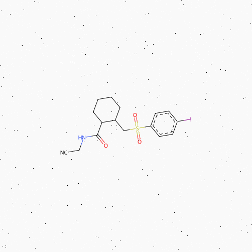 N#CCNC(=O)C1CCCCC1CS(=O)(=O)c1ccc(I)cc1